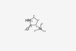 CN(C)C.O=C1CCCN1